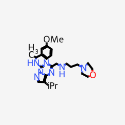 COc1cccc(C(C)Nc2nc(CNCCCN3CCOCC3)nc3c(C(C)C)cnn23)c1